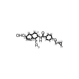 Cc1c(NC(=O)c2ccc(OCC3CC3)cc2)ccc2cc(C=O)cnc12